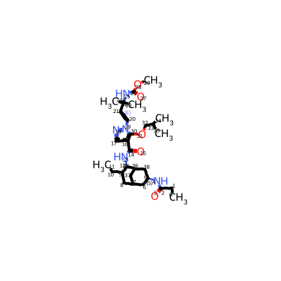 CCC(=O)N[C@H]1CC2CC(CC)[C@@H](NC(=O)c3cnn(/C=C/C(C)(C)NC(=O)OC)c3OCC(C)C)C(C2)C1